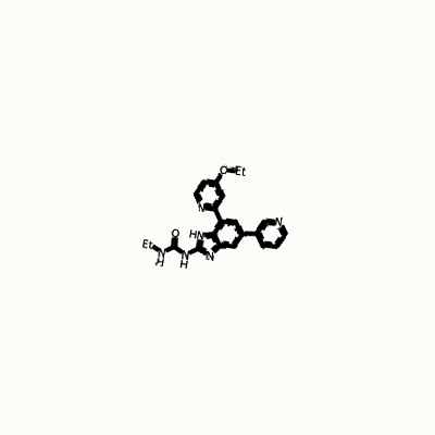 CCNC(=O)Nc1nc2cc(-c3cccnc3)cc(-c3cc(OCC)ccn3)c2[nH]1